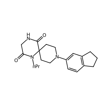 CCCN1C(=O)CNC(=O)C12CCN(c1ccc3c(c1)CCC3)CC2